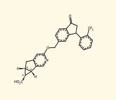 O=C1CC(c2ccccc2C(F)(F)F)c2cc(COc3cc4c(cn3)[C@H]3[C@@H](C4)[C@@H]3C(=O)O)ccc21